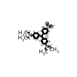 CCN(CC)c1ccc(C(c2ccc(N(CC)CC)cc2)c2ccc([N+](=O)[O-])cc2)cc1